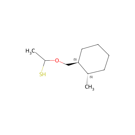 CC(S)OC[C@H]1CCCC[C@@H]1C